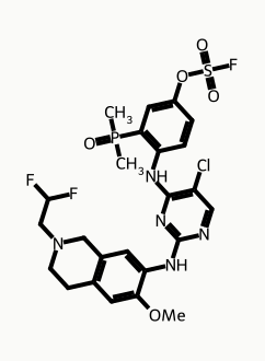 COc1cc2c(cc1Nc1ncc(Cl)c(Nc3ccc(OS(=O)(=O)F)cc3P(C)(C)=O)n1)CN(CC(F)F)CC2